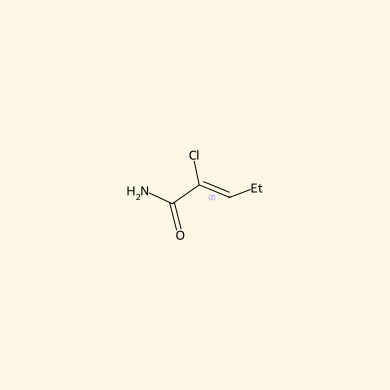 CC/C=C(\Cl)C(N)=O